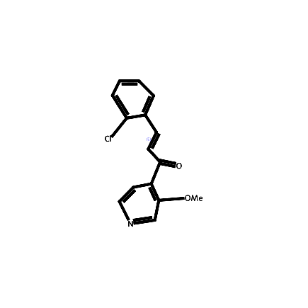 COc1cnccc1C(=O)/C=C/c1ccccc1Cl